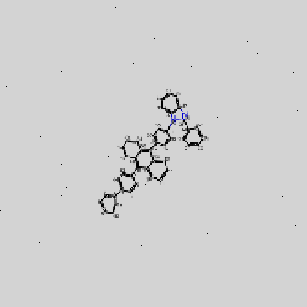 c1ccc(-c2ccc(-c3c4ccccc4c(-c4ccc(-n5c(-c6ccccc6)nc6ccccc65)cc4)c4ccccc34)cc2)cc1